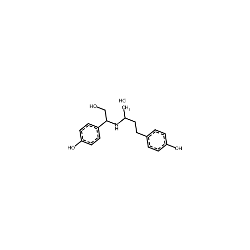 CC(CCc1ccc(O)cc1)NC(CO)c1ccc(O)cc1.Cl